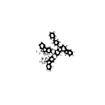 CC1(C)c2ccccc2-c2ccc(N(c3ccc4c(c3)C(C)(C)c3ccccc3-4)c3ccc4c5c6sc7ccccc7c6ccc5n(-c5ccc(-c6ccccc6)cc5)c4c3)cc21